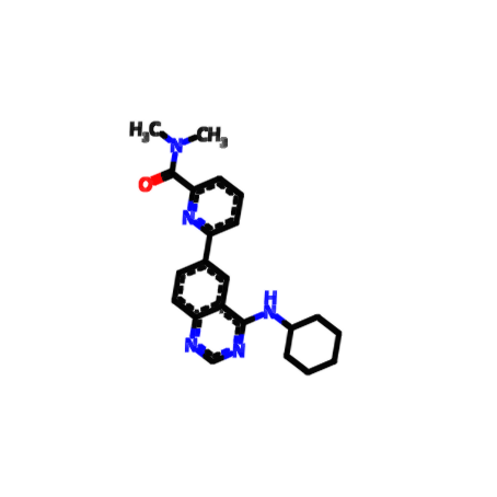 CN(C)C(=O)c1cccc(-c2ccc3ncnc(NC4CCCCC4)c3c2)n1